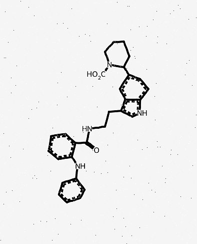 O=C(NCCc1c[nH]c2ccc(C3CCCCN3C(=O)O)cc12)c1ccccc1Nc1ccccc1